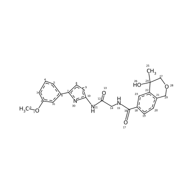 COc1cccc(-c2csc(NC(=O)CNC(=O)c3ccc4c(c3)C(C)(O)COC4)n2)c1